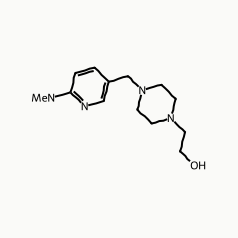 CNc1ccc(CN2CCN(CCO)CC2)cn1